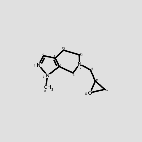 Cn1ncc2c1CN(CC1CO1)CC2